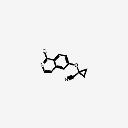 N#CC1(Oc2ccc3c(Cl)nccc3c2)CC1